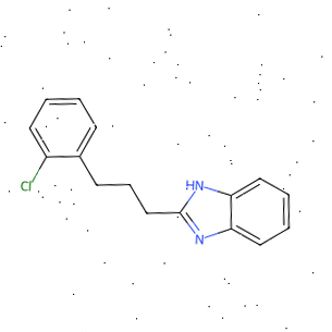 Clc1ccccc1CCCc1nc2ccccc2[nH]1